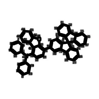 c1ccc(N(c2ccccc2)c2ccc(-c3ccc4c(c3)-c3ccccc3C43c4ccccc4-c4ccccc43)c3oc4ccccc4c23)cc1